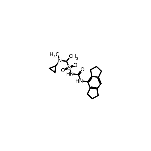 CC(N(C)C1CC1)S(=O)(=O)NC(=O)Nc1c2c(cc3c1CCC3)CCC2